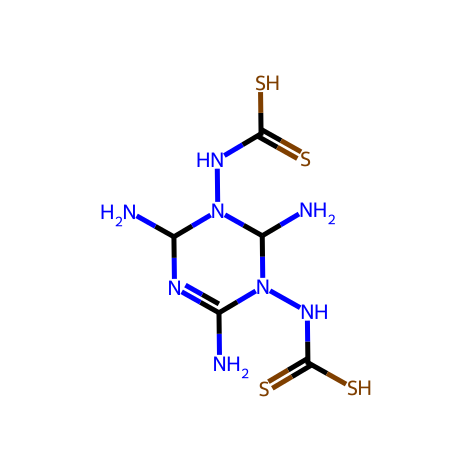 NC1=NC(N)N(NC(=S)S)C(N)N1NC(=S)S